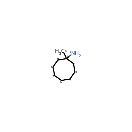 CC1(N)CCCCCCC1